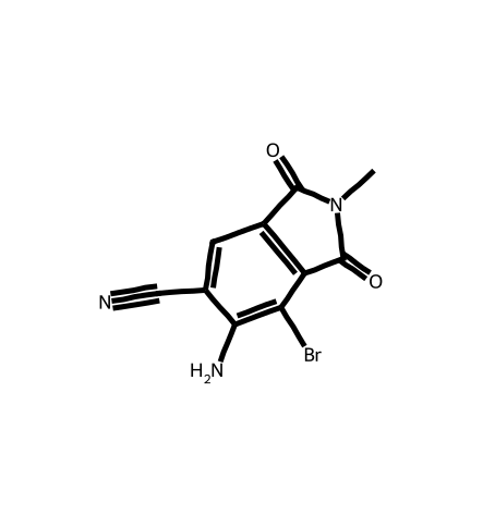 CN1C(=O)c2cc(C#N)c(N)c(Br)c2C1=O